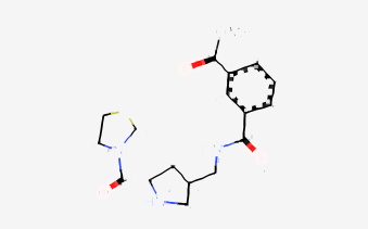 COC(=O)c1cccc(C(=O)NCC2CN[C@H](C(=O)N3CCSC3)C2)c1